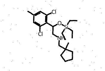 CC[Si](CC)(CC)OC(CNCC1(C)CCCC1)c1c(Cl)cc(C)cc1Cl